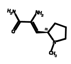 CN1CCC[C@@H]1C=C(N)C(N)=O